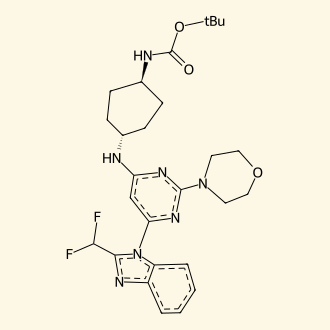 CC(C)(C)OC(=O)N[C@H]1CC[C@H](Nc2cc(-n3c(C(F)F)nc4ccccc43)nc(N3CCOCC3)n2)CC1